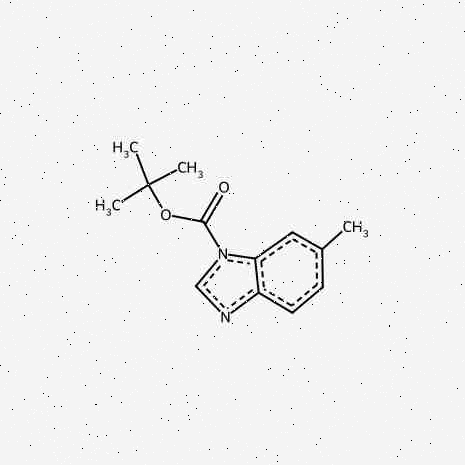 Cc1ccc2ncn(C(=O)OC(C)(C)C)c2c1